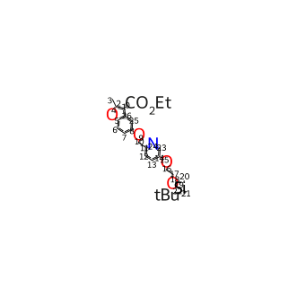 CCOC(=O)c1c(C)oc2ccc(OCc3ccc(OCCO[Si](C)(C)C(C)(C)C)cn3)cc12